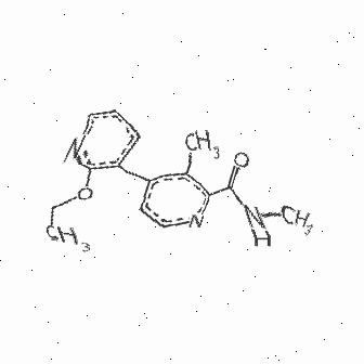 CCOc1ncccc1-c1ccnc(C(=O)NC)c1C